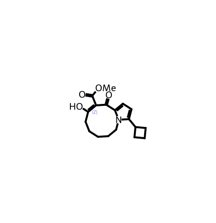 COC(=O)/C1=C(\O)CCCCCn2c(ccc2C2CCC2)C1=O